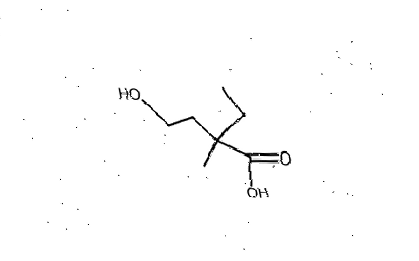 CCC(C)(CCO)C(=O)O